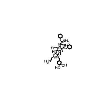 CC(C)C[C@@H](NC(=O)[C@@H](Cc1ccccc1)NC(=O)[C@H](N)Cc1ccccc1)C(=O)N[C@H](CCCCN)C(=O)NCc1ccc(O)c(O)c1